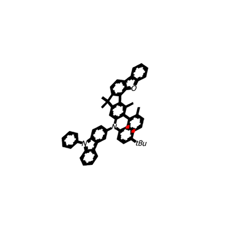 Cc1ccccc1-c1c(N(c2ccc(C(C)(C)C)cc2)c2ccc3c(c2)c2ccccc2n3-c2ccccc2)cc2c(c1C)-c1c(ccc3c1oc1ccccc13)C2(C)C